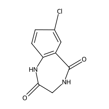 O=C1CNC(=O)c2cc(Cl)ccc2N1